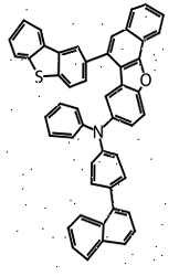 c1ccc(N(c2ccc(-c3cccc4ccccc34)cc2)c2ccc3oc4c5ccccc5cc(-c5ccc6sc7ccccc7c6c5)c4c3c2)cc1